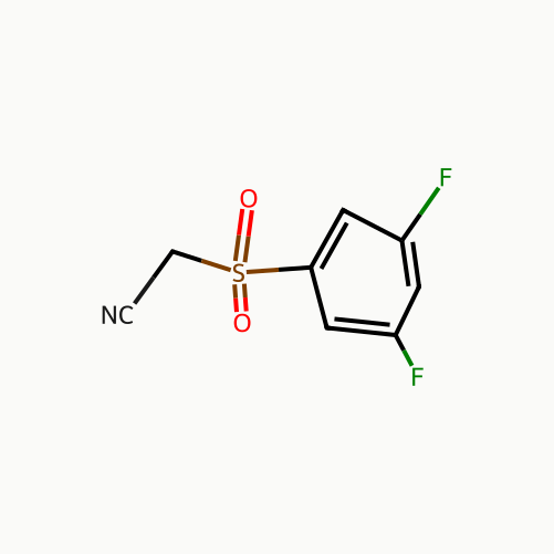 N#CCS(=O)(=O)c1cc(F)cc(F)c1